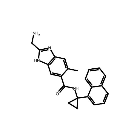 Cc1cc2nc(CN)[nH]c2cc1C(=O)NC1(c2cccc3ccccc23)CC1